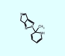 CC1(n2cc3c(n2)CN=C3)C=CC=CN1